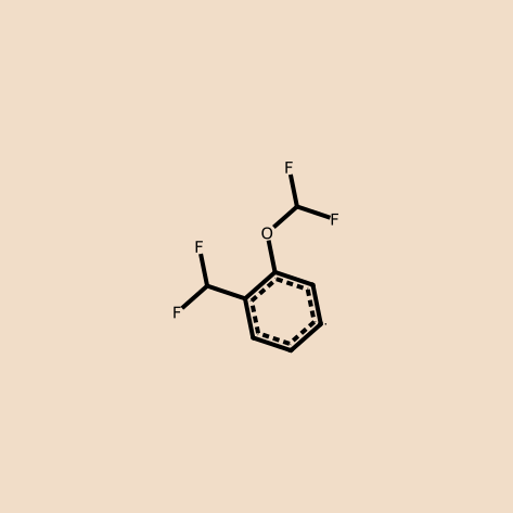 FC(F)Oc1c[c]ccc1C(F)F